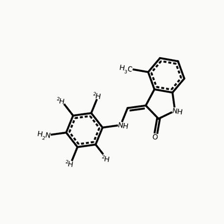 [2H]c1c([2H])c(NC=C2C(=O)Nc3cccc(C)c32)c([2H])c([2H])c1N